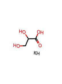 O=C(O)C(O)CO.[KH]